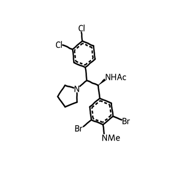 CNc1c(Br)cc([C@H](NC(C)=O)C(c2ccc(Cl)c(Cl)c2)N2CCCC2)cc1Br